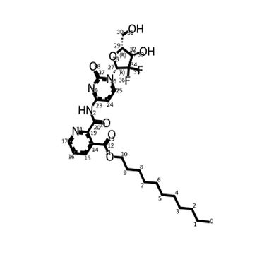 CCCCCCCCCCCOC(=O)c1cccnc1C(=O)Nc1ccn([C@@H]2O[C@H](CO)[C@@H](O)C2(F)F)c(=O)n1